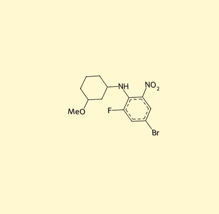 COC1CCCC(Nc2c(F)cc(Br)cc2[N+](=O)[O-])C1